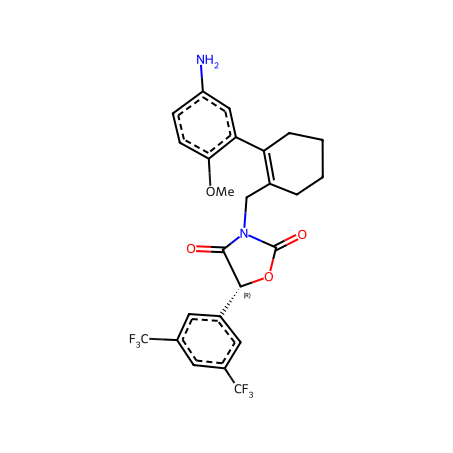 COc1ccc(N)cc1C1=C(CN2C(=O)O[C@H](c3cc(C(F)(F)F)cc(C(F)(F)F)c3)C2=O)CCCC1